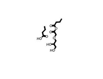 CCCC(=O)O.CCCC(=O)OC(=O)COCC(O)CO